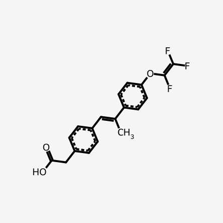 C/C(=C\c1ccc(CC(=O)O)cc1)c1ccc(OC(F)=C(F)F)cc1